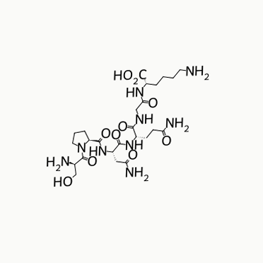 NCCCC[C@H](NC(=O)CNC(=O)[C@H](CCC(N)=O)NC(=O)[C@H](CC(N)=O)NC(=O)[C@@H]1CCCN1C(=O)[C@H](N)CO)C(=O)O